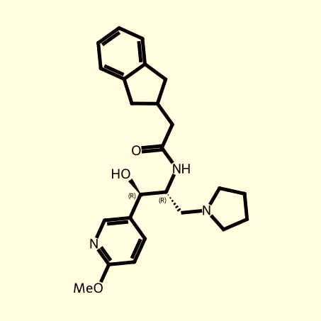 COc1ccc([C@@H](O)[C@@H](CN2CCCC2)NC(=O)CC2Cc3ccccc3C2)cn1